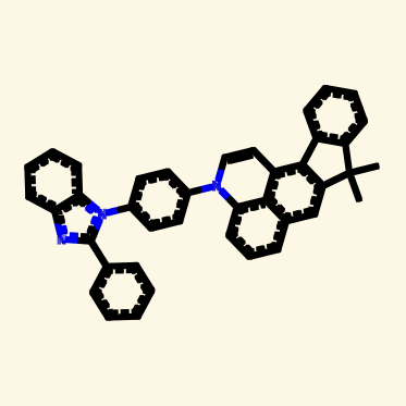 CC1(C)c2ccccc2-c2c1cc1cccc3c1c2C=CN3c1ccc(-n2c(-c3ccccc3)nc3ccccc32)cc1